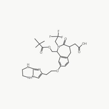 CC(C)(C)C(=O)OCC1c2cc(OCCc3cn4c(n3)NCCN4)ccc2CC(CC(=O)O)C(=O)N1CC(F)(F)F